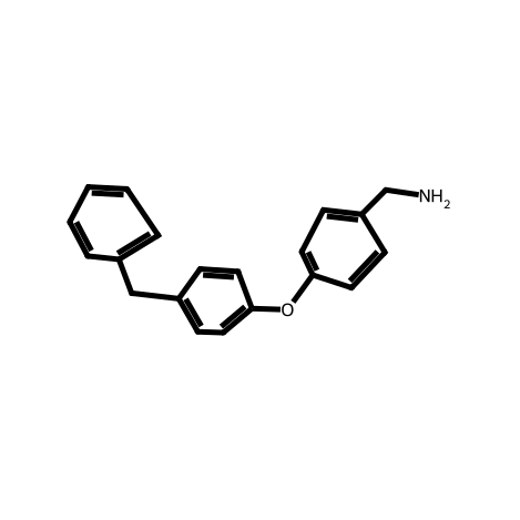 NCc1ccc(Oc2ccc(Cc3ccccc3)cc2)cc1